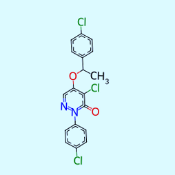 CC(Oc1cnn(-c2ccc(Cl)cc2)c(=O)c1Cl)c1ccc(Cl)cc1